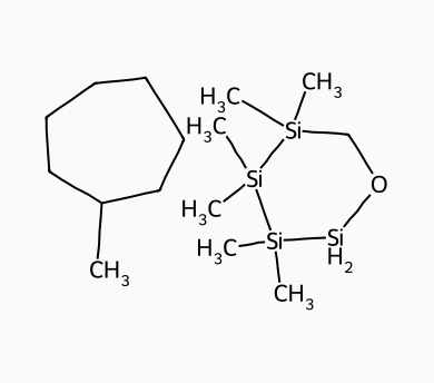 CC1CCCCCC1.C[Si]1(C)CO[SiH2][Si](C)(C)[Si]1(C)C